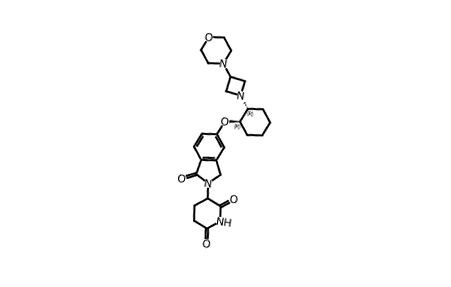 O=C1CCC(N2Cc3cc(O[C@@H]4CCCC[C@H]4N4CC(N5CCOCC5)C4)ccc3C2=O)C(=O)N1